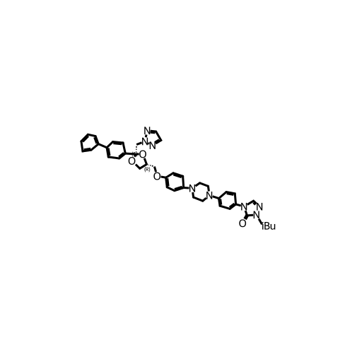 CCC(C)n1ncn(-c2ccc(N3CCN(c4ccc(OC[C@@H]5CO[C@@](Cn6nccn6)(c6ccc(-c7ccccc7)cc6)O5)cc4)CC3)cc2)c1=O